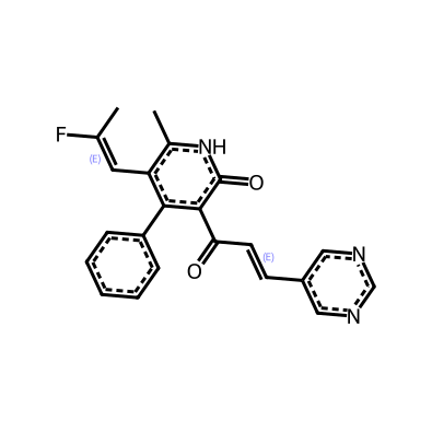 C/C(F)=C\c1c(C)[nH]c(=O)c(C(=O)/C=C/c2cncnc2)c1-c1ccccc1